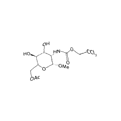 CO[C@@H]1OC(COC(C)=O)[C@@H](O)C(O)[C@@H]1NC(=O)OCC(Cl)(Cl)Cl